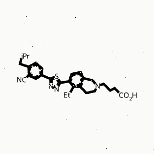 CCc1c(-c2nnc(-c3ccc(CC(C)C)c(C#N)c3)s2)ccc2c1CCN(CCCC(=O)O)C2